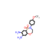 Nc1cc2c(cc1N)S(=O)(=O)N(c1ccc(OC(F)(F)F)cc1)CCO2